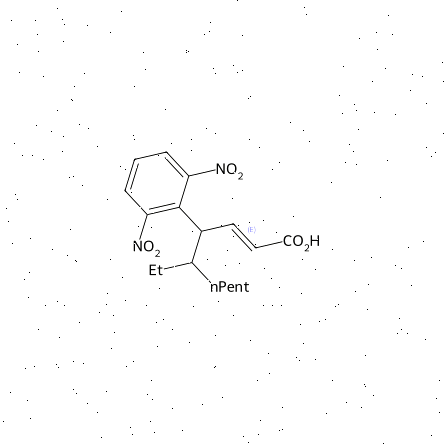 CCCCCC(CC)C(/C=C/C(=O)O)c1c([N+](=O)[O-])cccc1[N+](=O)[O-]